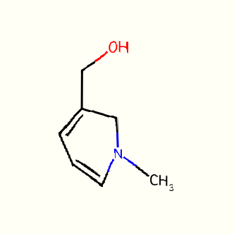 CN1C=CC=C(CO)C1